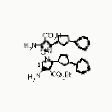 CCOC(=O)c1c(C2CCC(c3ccccc3)C2)noc1N.Nc1onc(C2CCC(c3ccccc3)C2)c1C(=O)O